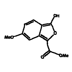 COC(=O)c1oc(O)c2ccc(OC)cc12